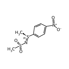 C[S@](=NS(C)(=O)=O)c1ccc([N+](=O)[O-])cc1